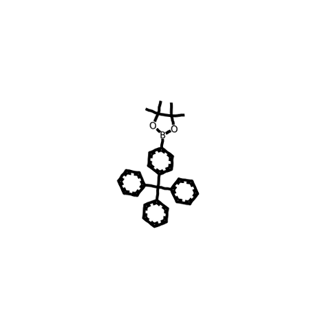 CC1(C)OB(c2ccc(C(c3ccccc3)(c3ccccc3)c3ccccc3)cc2)OC1(C)C